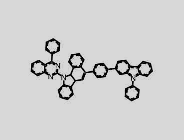 C1=C(c2ccc(-c3ccc4c5ccccc5n(-c5ccccc5)c4c3)cc2)c2ccccc2C2C1c1ccccc1N2c1nc(-c2ccccc2)c2ccccc2n1